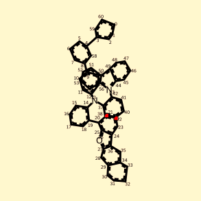 c1ccc(-c2cccc(-c3ccc(N(c4ccccc4-c4cccc5c4oc4cc6ccccc6cc45)c4ccccc4-n4c5ccccc5c5ccccc54)cc3)c2)cc1